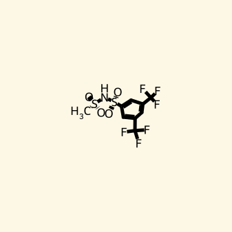 CS(=O)(=O)NS(=O)(=O)c1cc(C(F)(F)F)cc(C(F)(F)F)c1